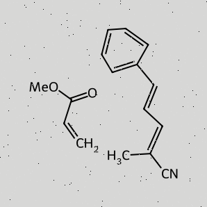 C=CC(=O)OC.CC(C#N)=CC=Cc1ccccc1